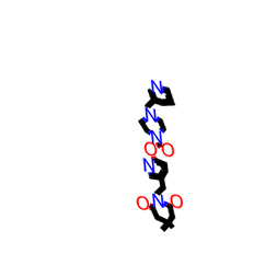 CC1(C)CC(=O)N(CCc2ccc(OC(=O)N3CCN(Cc4cccnc4)CC3)nc2)C(=O)C1